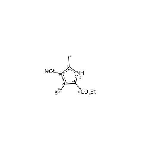 CCOC(=O)c1[nH]c(C)c(C#N)c1Br